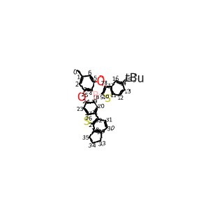 Cc1cc2c3c(c1)Oc1c(sc4ccc(C(C)(C)C)cc14)B3c1cc3c(cc1O2)sc1c2c(ccc13)CCC2